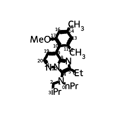 CCCN(CC(C)C)c1c(CC)nc2c(-c3c(C)cc(C)cc3OC)ccnn12